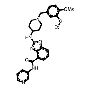 CCOc1cc(CN2CCC(Nc3nc4c(C(=O)Nc5cccnc5)cccc4o3)CC2)ccc1OC